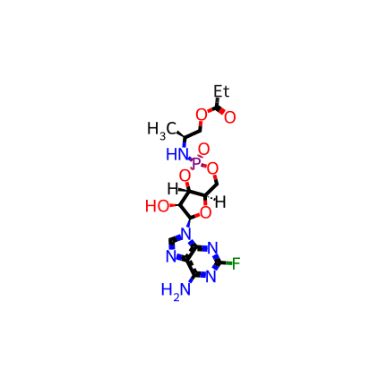 CCC(=O)OC[C@H](C)NP1(=O)OC[C@H]2O[C@@H](n3cnc4c(N)nc(F)nc43)[C@@H](O)[C@@H]2O1